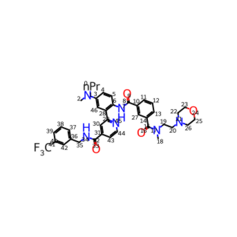 CCCN(C)c1ccc(NC(=O)c2cccc(C(=O)N(C)CCN3CCOCC3)c2)c(-c2cc(C(=O)NCc3cccc(C(F)(F)F)c3)ccn2)c1